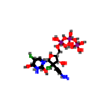 NC#CC1(Cl)[C@@H](O)[C@@H](COP(=O)(O)OP(=O)(O)OP(=O)(O)O)O[C@H]1n1cc(F)c(=O)[nH]c1=O